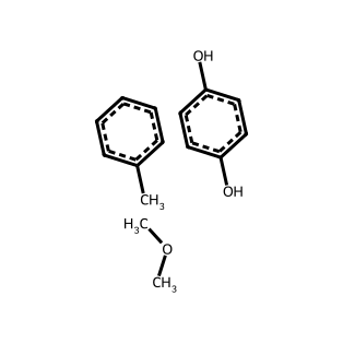 COC.Cc1ccccc1.Oc1ccc(O)cc1